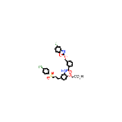 O=C(O)COc1ccc(CCCS(=O)(=O)c2ccc(Cl)cc2)cc1NC(=O)c1cccc(COc2nc3cc(Cl)ccc3o2)c1